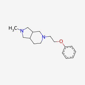 CN1CC2CCN(CCOc3ccccc3)CC2C1